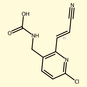 N#C/C=C/c1nc(Cl)ccc1CNC(=O)O